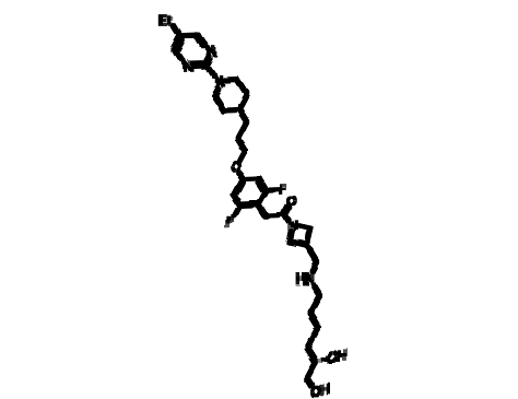 CCc1cnc(N2CCC(CCCOc3cc(F)c(CC(=O)N4CC(CNCCCC[C@H](O)CO)C4)c(F)c3)CC2)nc1